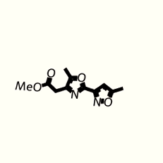 COC(=O)Cc1nc(-c2cc(C)on2)oc1C